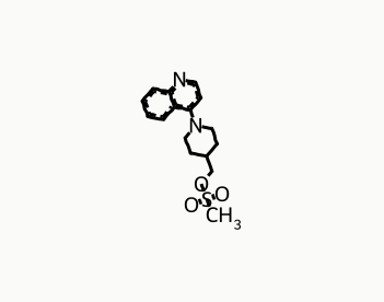 CS(=O)(=O)OCC1CCN(c2ccnc3ccccc23)CC1